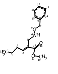 CCC/C=C(\CNOCc1ccccc1)C(=O)OC